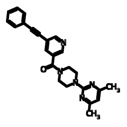 Cc1cc(C)nc(N2CCN(C(=O)c3cncc(C#Cc4ccccc4)c3)CC2)n1